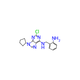 Nc1ccccc1CNc1nc(Cl)nc2c1ncn2C1CCCC1